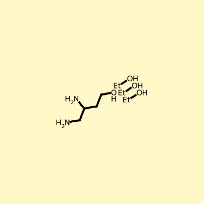 CCO.CCO.CCO.NCC(N)CCO